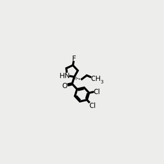 CCC[C@@]1(C(=O)c2ccc(Cl)c(Cl)c2)CC(F)CN1